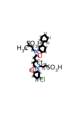 CCC(/C=C1\Oc2ccc(-c3ccccc3)cc2N1CCC(C)S(=O)(=O)O)=C\C1Oc2ccc(Cl)cc2N1CCCS(=O)(=O)O